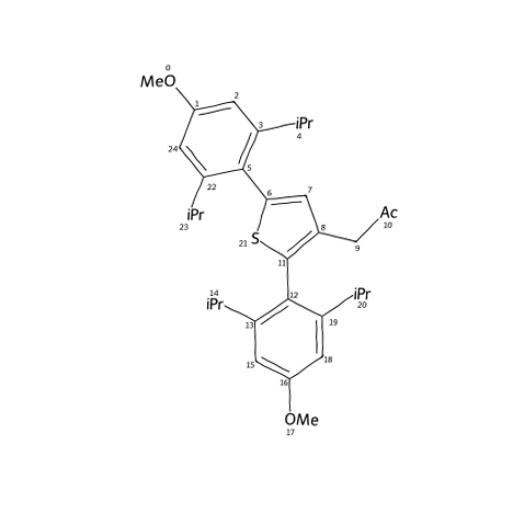 COc1cc(C(C)C)c(-c2cc(CC(C)=O)c(-c3c(C(C)C)cc(OC)cc3C(C)C)s2)c(C(C)C)c1